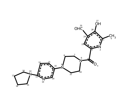 Cc1nc(C(=O)N2CCN(c3ccc(N4CCCC4)nc3)CC2)cc(C=O)c1O